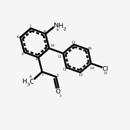 CC(C=O)c1cccc(N)c1-c1ccc(Cl)cc1